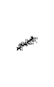 CC(C)[C@H](C)C(=O)N[C@H](CCC(=O)N[C@H](CO)CCC[C@@H](N)C(=O)O)C(=O)O